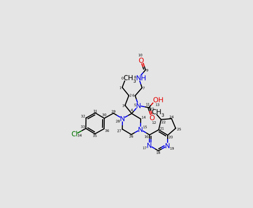 CCCCC1(N(CCNC=O)C(=O)O)CN(c2ncnc3c2C(C)CC3)CCN1Cc1ccc(Cl)cc1